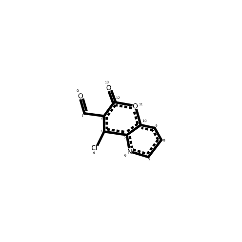 O=Cc1c(Cl)c2ncccc2oc1=O